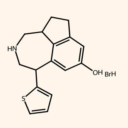 Br.Oc1cc2c3c(c1)C(c1cccs1)CNCC3CC2